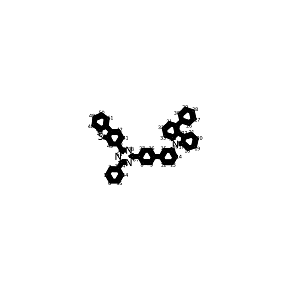 c1ccc(-c2nc(-c3ccc(-c4cccc(-n5c6ccccc6c6c(-c7ccccc7)cccc65)c4)cc3)nc(-c3ccc4c(c3)sc3ccccc34)n2)cc1